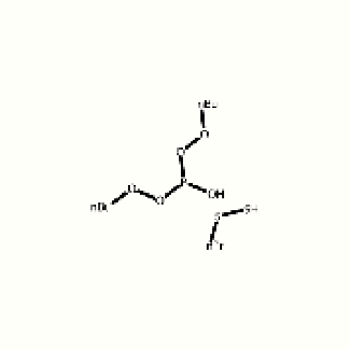 CCCCOOP(O)OOCCCC.CCCSS